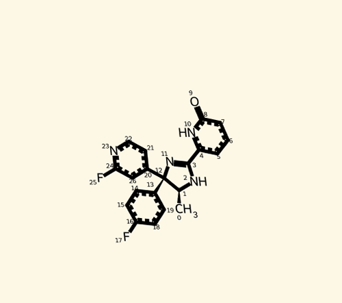 C[C@@H]1NC(c2cccc(=O)[nH]2)=N[C@@]1(c1ccc(F)cc1)c1ccnc(F)c1